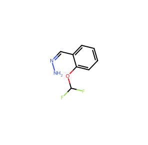 N/N=C\c1ccccc1OC(F)F